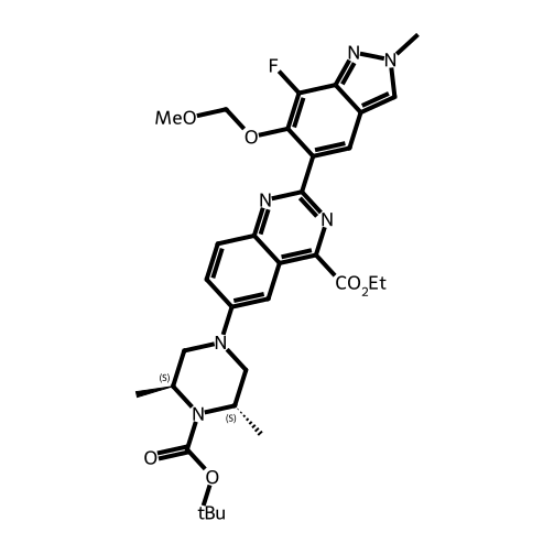 CCOC(=O)c1nc(-c2cc3cn(C)nc3c(F)c2OCOC)nc2ccc(N3C[C@H](C)N(C(=O)OC(C)(C)C)[C@@H](C)C3)cc12